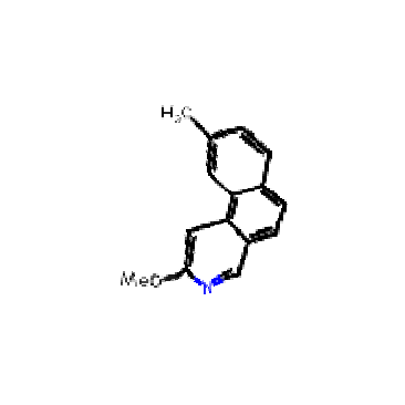 COc1cc2c(ccc3ccc(C)cc32)cn1